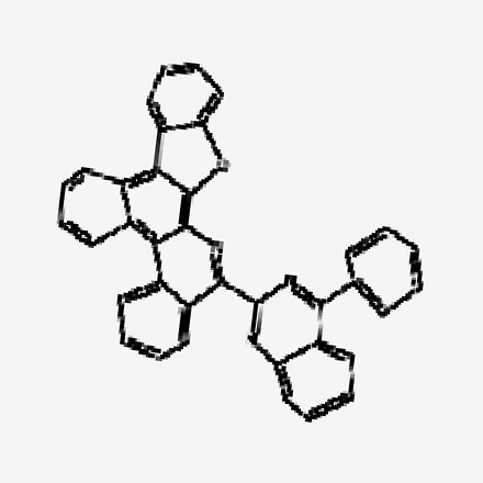 c1ccc(-c2nc(-c3nc4c5oc6ccccc6c5c5ccccc5c4c4ccccc34)nc3ccccc23)cc1